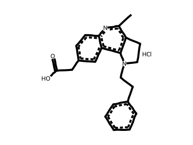 Cc1nc2ccc(CC(=O)O)cc2c2c1CCN2CCc1ccccc1.Cl